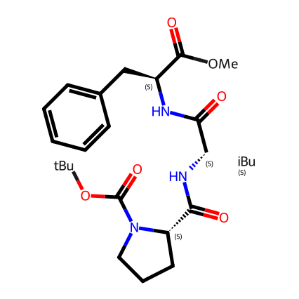 CC[C@H](C)[C@H](NC(=O)[C@@H]1CCCN1C(=O)OC(C)(C)C)C(=O)N[C@@H](Cc1ccccc1)C(=O)OC